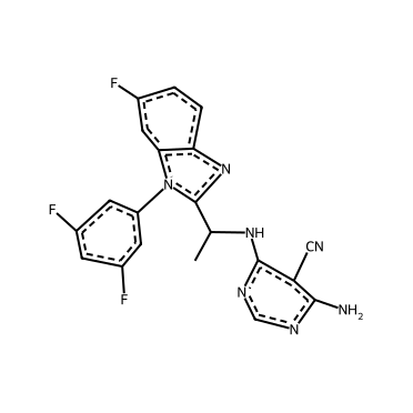 CC(Nc1ncnc(N)c1C#N)c1nc2ccc(F)cc2n1-c1cc(F)cc(F)c1